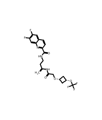 C=C(CCNC(=O)c1ccc2cc(F)c(F)cc2n1)NC(=O)CO[C@H]1C[C@@H](OC(F)(F)F)C1